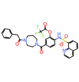 O=C(Cc1ccccc1)N1CCCN(C(=O)c2ccc(NS(=O)(=O)c3cccc4cccnc34)c(OC(=O)C(F)(F)F)c2)CC1